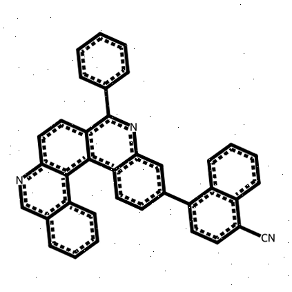 N#Cc1ccc(-c2ccc3c(c2)nc(-c2ccccc2)c2ccc4ncc5ccccc5c4c23)c2ccccc12